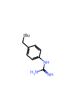 CC(C)(C)Cc1ccc(NC(=N)N)cc1